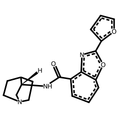 O=C(N[C@@H]1CN2CCC1CC2)c1cccc2oc(-c3ccco3)nc12